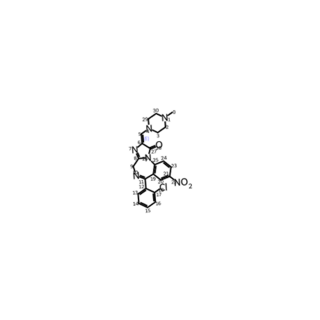 CN1CCN(/C=C2/N=C3CN=C(c4ccccc4Cl)c4cc([N+](=O)[O-])ccc4N3C2=O)CC1